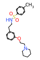 Cc1ccc(S(=O)(=O)NCCc2cccc(OCCN3CCCCC3)c2)cc1